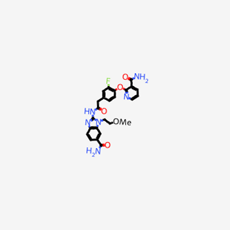 COCCn1c(NC(=O)Cc2ccc(Oc3ncccc3C(N)=O)c(F)c2)nc2ccc(C(N)=O)cc21